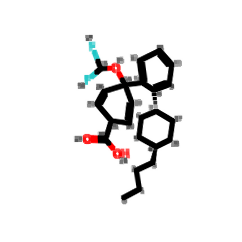 CCCC[C@H]1CC[C@H](c2ccccc2C2(OC(F)F)C=CC(C(=O)O)C=C2)CC1